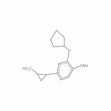 COc1ccc(C2CC2C(=O)O)cc1OC1CCCC1